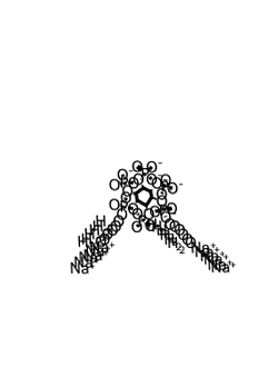 O.O.O.O.O.O.O.O.O.O.O.O.O=P([O-])([O-])O[C@H]1[C@H](OP(=O)([O-])[O-])[C@@H](OP(=O)([O-])[O-])[C@H](OP(=O)([O-])[O-])[C@@H](OP(=O)([O-])[O-])[C@H]1OP(=O)([O-])[O-].[Na+].[Na+].[Na+].[Na+].[Na+].[Na+].[Na+].[Na+].[Na+].[Na+].[Na+].[Na+]